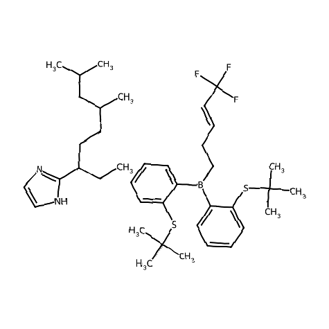 CC(C)(C)Sc1ccccc1B(CCC=CC(F)(F)F)c1ccccc1SC(C)(C)C.CCC(CCC(C)CC(C)C)c1ncc[nH]1